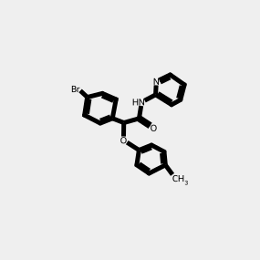 Cc1ccc(OC(C(=O)Nc2ccccn2)c2ccc(Br)cc2)cc1